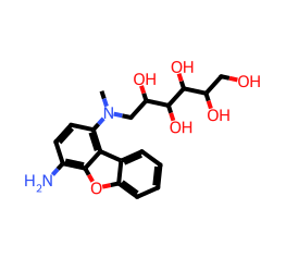 CN(CC(O)C(O)C(O)C(O)CO)c1ccc(N)c2oc3ccccc3c12